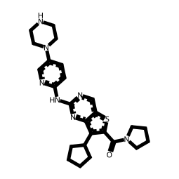 O=C(c1sc2cnc(Nc3ccc(N4CCNCC4)cn3)nc2c1C1CCCC1)N1CCCC1